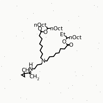 C=C(NCCCN(CCCCCCCC(=O)OC(CC)CCCCCCCC)CCCCCCCC(=O)OC(CCCCCCCC)CCCCCCCC)C1(C)CC1